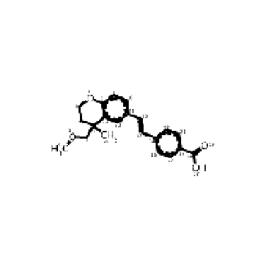 COCC1(C)CCOc2ccc(C=Cc3ccc(C(=O)O)cc3)cc21